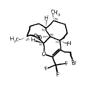 C[C@@H]1CC[C@H]2C(CBr)=C(C(F)(F)F)O[C@@H]3O[C@]4(C)CC[C@@H]1[C@]32OO4